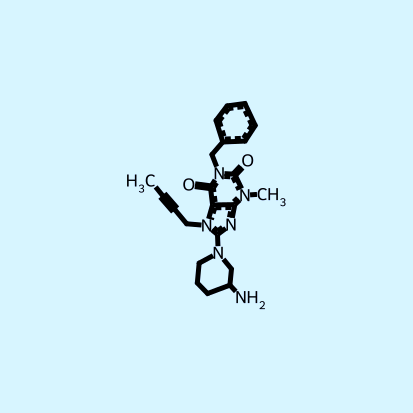 CC#CCn1c(N2CCCC(N)C2)nc2c1c(=O)n(Cc1ccccc1)c(=O)n2C